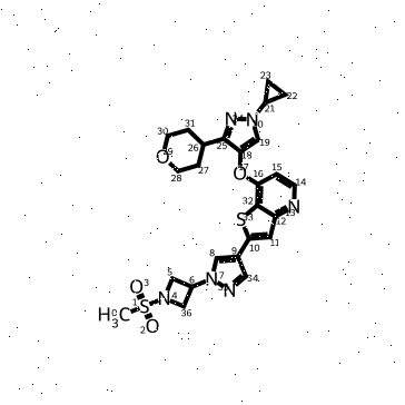 CS(=O)(=O)N1CC(n2cc(-c3cc4nccc(Oc5cn(C6CC6)nc5C5CCOCC5)c4s3)cn2)C1